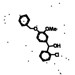 COc1cc(C(O)c2ccccc2Cl)ccc1OCc1ccccc1